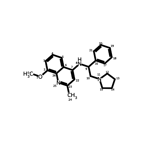 COc1cccc2c(NC(CN3CCCC3)c3ccccc3)cc(C)nc12